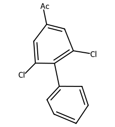 CC(=O)c1cc(Cl)c(-c2ccccc2)c(Cl)c1